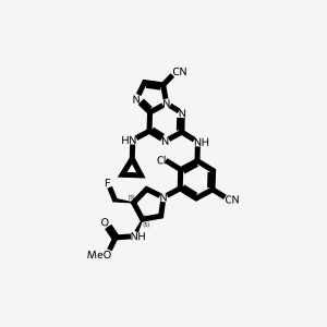 COC(=O)N[C@@H]1CN(c2cc(C#N)cc(Nc3nc(NC4CC4)c4ncc(C#N)n4n3)c2Cl)C[C@@H]1CF